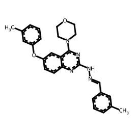 Cc1cccc(C=NNc2nc(N3CCOCC3)c3cc(Oc4cccc(C)c4)ccc3n2)c1